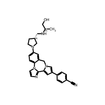 C[C@H](CO)NC[C@H]1CCN(c2ccc3c(c2)Cn2cc(-c4ccc(C#N)cc4)cc2-c2nccn2-3)C1